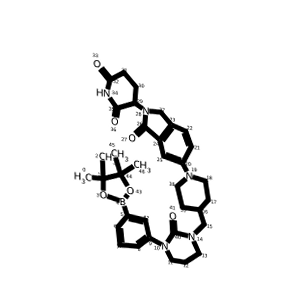 CC1(C)OB(c2cccc(N3CCCN(CC4CCN(c5ccc6c(c5)C(=O)N(C5CCC(=O)NC5=O)C6)CC4)C3=O)c2)OC1(C)C